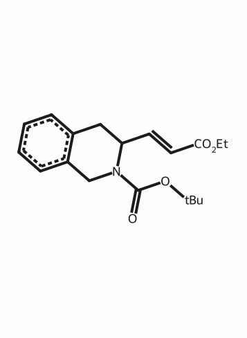 CCOC(=O)C=CC1Cc2ccccc2CN1C(=O)OC(C)(C)C